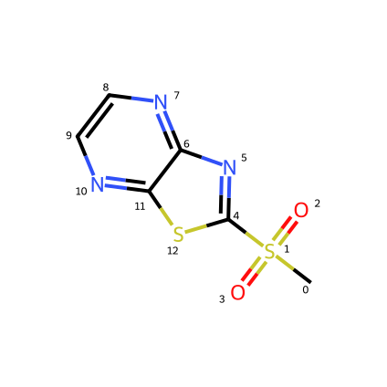 CS(=O)(=O)c1nc2nccnc2s1